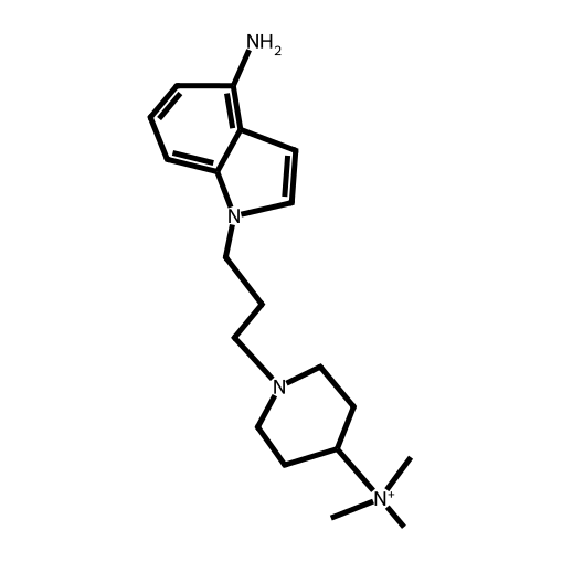 C[N+](C)(C)C1CCN(CCCn2ccc3c(N)cccc32)CC1